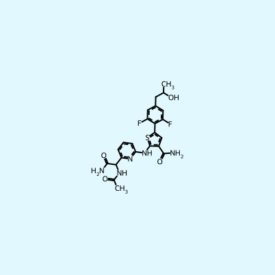 CC(=O)NC(C(N)=O)c1cccc(Nc2sc(-c3c(F)cc(CC(C)O)cc3F)cc2C(N)=O)n1